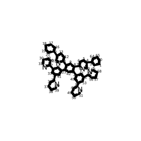 c1ccc(-c2ccc(-c3cc(-c4ccc(-c5ccccc5)cn4)c(-c4cc(-c5ccccn5)cc(-c5ccccn5)c4)cc3-c3cc(-c4ccccn4)cc(-c4ccccn4)c3)nc2)cc1